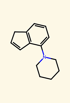 C1=Cc2c(cccc2N2CCCCC2)C1